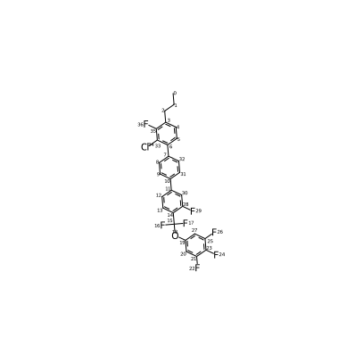 CCCc1ccc(-c2ccc(-c3ccc(C(F)(F)Oc4cc(F)c(F)c(F)c4)c(F)c3)cc2)c(Cl)c1F